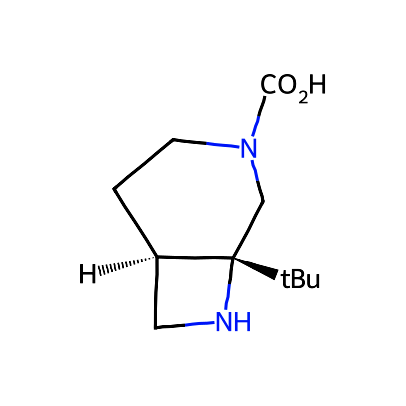 CC(C)(C)[C@]12CN(C(=O)O)CC[C@@H]1CN2